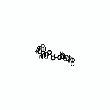 Cc1c(-c2ccn3c(=O)c(CNC[C@@H]4CCC(=O)N4)cnc3c2)cccc1-c1cccc(-c2ccc(CN(C)[C@H]3CCC(=O)N3)c(N(C)C)n2)c1Cl